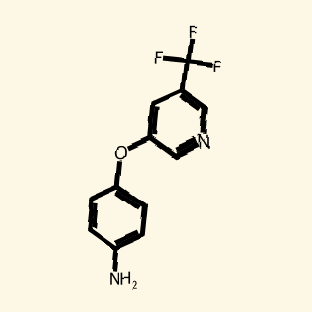 Nc1ccc(Oc2cncc(C(F)(F)F)c2)cc1